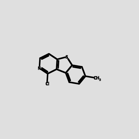 Cc1ccc2c(c1)sc1ccnc(Cl)c12